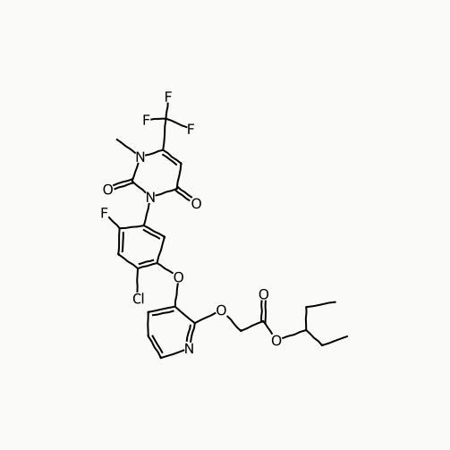 CCC(CC)OC(=O)COc1ncccc1Oc1cc(-n2c(=O)cc(C(F)(F)F)n(C)c2=O)c(F)cc1Cl